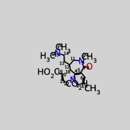 Cc1cnc2c(c1)C(=O)N(C)CC(CCN(C)C)C2.O=C(O)C=CC(=O)O